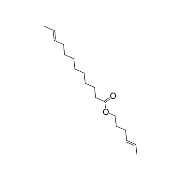 CC=CCCCOC(=O)CCCCCCCC/C=C/C